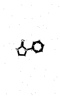 O=C1[N]CCN1c1ccccc1